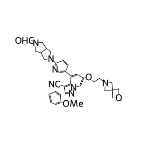 COc1ccccc1.N#Cc1cnn2cc(OCCN3CC4(COC4)C3)cc(-c3ccc(N4CC5CN(C=O)CC5C4)nc3)c12